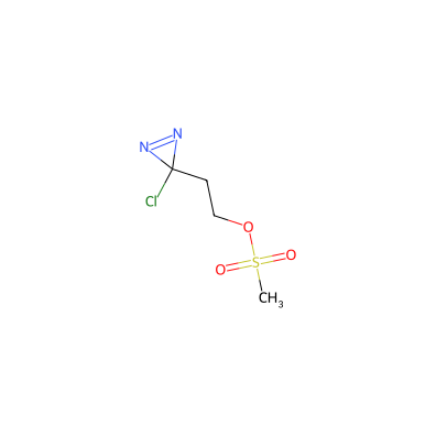 CS(=O)(=O)OCCC1(Cl)N=N1